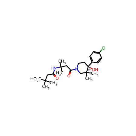 CC(C)(CC(=O)N1CC[C@](O)(c2ccc(Cl)cc2)C(C)(C)C1)NC(=O)CC(C)(C)C(=O)O